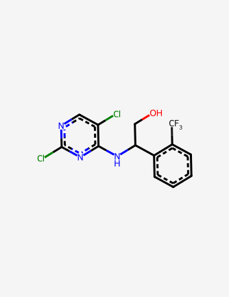 OCC(Nc1nc(Cl)ncc1Cl)c1ccccc1C(F)(F)F